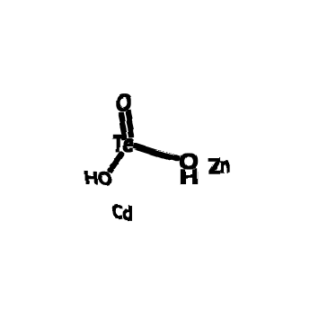 O=[Te](O)O.[Cd].[Zn]